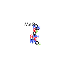 COc1ccc2nccc(Oc3ccc(NC(=O)c4c(C)nc(C)n(-c5ccc(F)cc5)c4=O)cc3F)c2n1